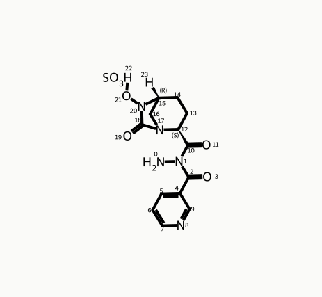 NN(C(=O)c1cccnc1)C(=O)[C@@H]1CC[C@@H]2CN1C(=O)N2OS(=O)(=O)O